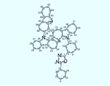 c1ccc(-c2nnc(-c3cccc(-n4c5ccccc5c5cc(-c6c(-n7c8ccccc8c8ccccc87)ccc7c6sc6ccccc67)ccc54)c3)o2)cc1